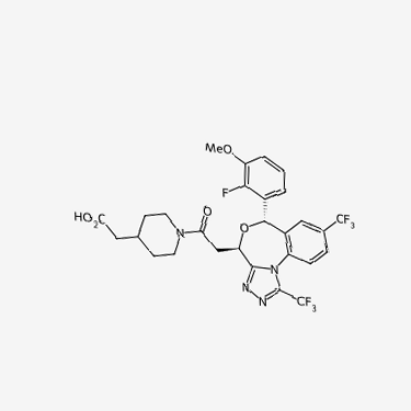 COc1cccc([C@H]2O[C@H](CC(=O)N3CCC(CC(=O)O)CC3)c3nnc(C(F)(F)F)n3-c3ccc(C(F)(F)F)cc32)c1F